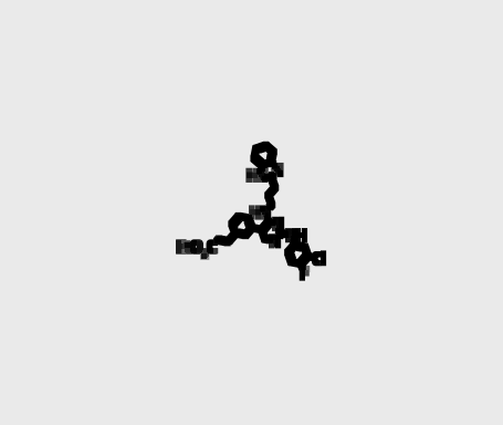 CCOC(=O)/C=C/c1cccc(-c2cnc(Nc3ccc(F)c(Cl)c3)nc2NCCCc2nc3ccccc3[nH]2)c1